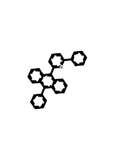 c1ccc(-c2cccc(-c3c4ccccc4c(-c4ccccc4)c4ccccc34)n2)cc1